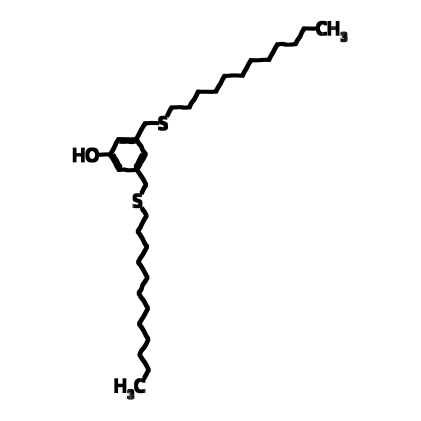 CCCCCCCCCCCCSCc1cc(O)cc(CSCCCCCCCCCCCC)c1